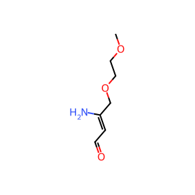 COCCOC/C(N)=C/C=O